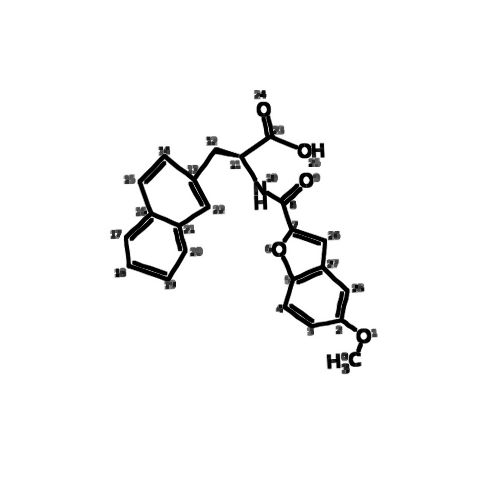 COc1ccc2oc(C(=O)N[C@@H](Cc3ccc4ccccc4c3)C(=O)O)cc2c1